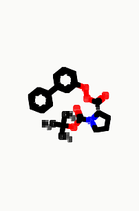 CC(C)(C)OC(=O)N1CCC[C@H]1C(=O)OOc1cccc(-c2ccccc2)c1